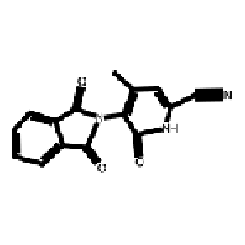 Cc1cc(C#N)[nH]c(=O)c1N1C(=O)c2ccccc2C1=O